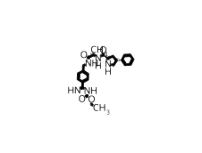 CCOC(=O)NC(=N)c1ccc(CNC(=O)[C@H](C)NC(=O)[C@H]2C[C@H](c3ccccc3)CN2)cc1